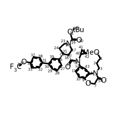 COCCCN1C(=O)COc2ccc(N(C(=O)[C@H]3CN(C(=O)OC(C)(C)C)CC[C@@H]3c3cccc(-c4ccc(OC(F)(F)F)cc4)c3)C3CC3)cc21